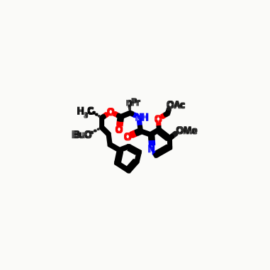 CCC[C@H](NC(=O)c1nccc(OC)c1OCOC(C)=O)C(=O)O[C@@H](C)[C@H](CCc1ccccc1)OCC(C)C